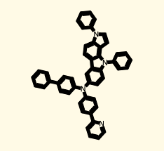 c1ccc(-c2ccc(N(c3ccc(-c4ccccn4)cc3)c3ccc4c(c3)c3ccc5c(ccn5-c5ccccc5)c3n4-c3ccccc3)cc2)cc1